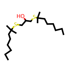 CCCCCCC(C)(C)SCC(O)CSC(C)(C)CCCCCC